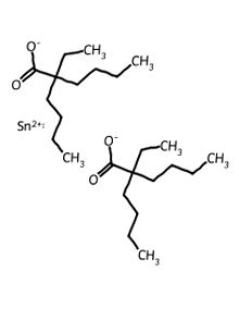 CCCCC(CC)(CCCC)C(=O)[O-].CCCCC(CC)(CCCC)C(=O)[O-].[Sn+2]